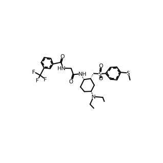 CCN(CC)[C@@H]1CC[C@H](NC(=O)CNC(=O)c2cccc(C(F)(F)F)c2)[C@H](CS(=O)(=O)c2ccc(SC)cc2)C1